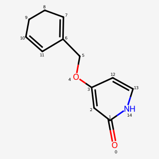 O=c1cc(OCC2=CCCC=C2)cc[nH]1